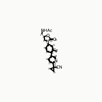 CC(=O)NC[C@H]1CN(c2ccc(-c3ccc(C4(C#N)CC4)nc3)c(F)c2)C(=O)O1